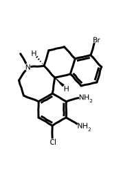 CN1CCc2cc(Cl)c(N)c(N)c2[C@H]2c3cccc(Br)c3CC[C@@H]21